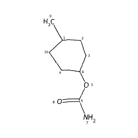 CC1CCC(OC(N)=O)CC1